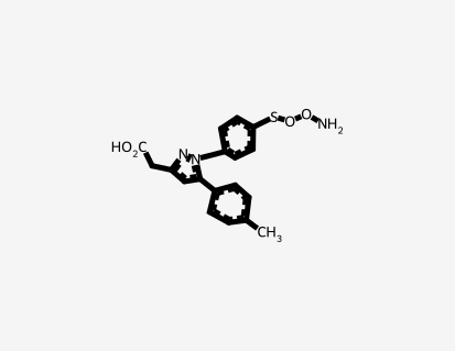 Cc1ccc(-c2cc(CC(=O)O)nn2-c2ccc(SOON)cc2)cc1